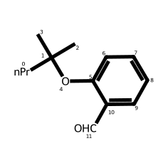 CCCC(C)(C)Oc1ccccc1C=O